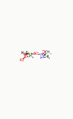 CCC(C)C(=O)NCCOCOCCSCC(C)(C)C(=O)OCCO